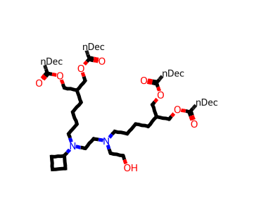 CCCCCCCCCCC(=O)OCC(CCCCN(CCO)CCN(CCCCC(COC(=O)CCCCCCCCCC)COC(=O)CCCCCCCCCC)C1CCC1)COC(=O)CCCCCCCCCC